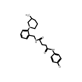 CC1CCCN(c2ccccc2CNC(=O)CCC(=O)Nc2ccc(Cl)cc2)C1